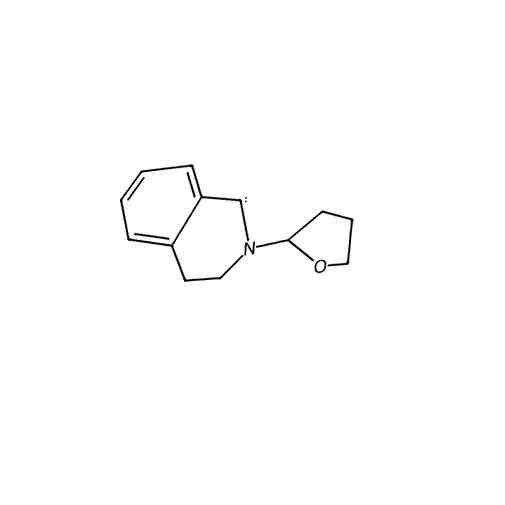 [C]1c2ccccc2CCN1C1CCCO1